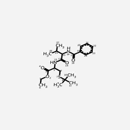 CCOC(=O)C(CSC(C)(C)C)NC(=O)C(NC(=O)c1ccccc1)C(C)C